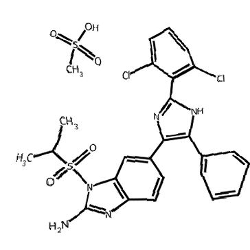 CC(C)S(=O)(=O)n1c(N)nc2ccc(-c3nc(-c4c(Cl)cccc4Cl)[nH]c3-c3ccccc3)cc21.CS(=O)(=O)O